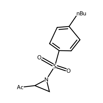 CCCCc1ccc(S(=O)(=O)N2CC2C(C)=O)cc1